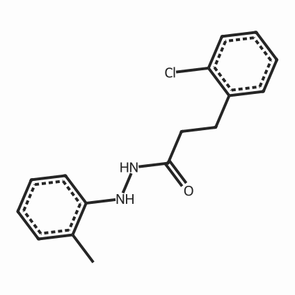 Cc1ccccc1NNC(=O)CCc1ccccc1Cl